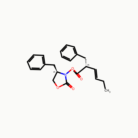 CCC=C[C@@H](Cc1ccccc1)C(=O)ON1C(=O)OC[C@H]1Cc1ccccc1